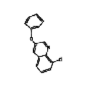 Clc1cccc2cc(Oc3ccccc3)cnc12